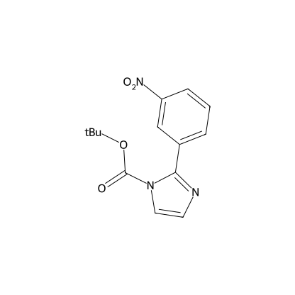 CC(C)(C)OC(=O)n1ccnc1-c1cccc([N+](=O)[O-])c1